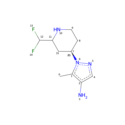 Cc1c(N)cnn1[C@@H]1CCNC(C(F)F)C1